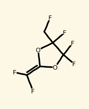 FCC1(F)OC(=C(F)F)OC1(F)F